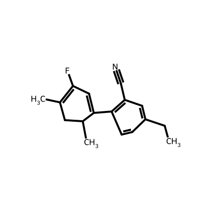 CCc1ccc(C2=CC(F)=C(C)CC2C)c(C#N)c1